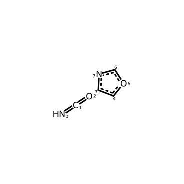 N=C=O.c1cocn1